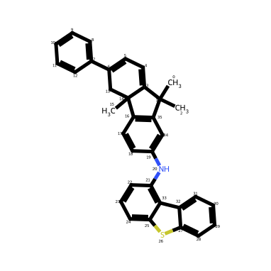 CC1(C)C2=CC=C(c3ccccc3)CC2(C)c2ccc(Nc3cccc4sc5ccccc5c34)cc21